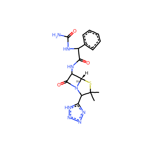 CC1(C)S[C@H]2C(NC(=O)C(NC(N)=O)c3ccccc3)C(=O)N2C1c1nnn[nH]1